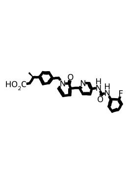 C[C@H](CC(=O)O)c1ccc(Cn2cccc(-c3ccc(NC(=O)Nc4ccccc4F)cn3)c2=O)cc1